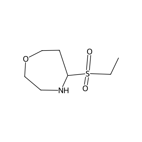 CCS(=O)(=O)C1CCOCCN1